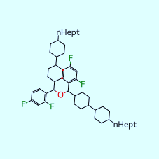 CCCCCCCC1CCC(C2CCC(C(OC(c3ccc(F)cc3F)C3CCC(C4CCC(CCCCCCC)CC4)CC3)c3ccc(F)cc3F)CC2)CC1